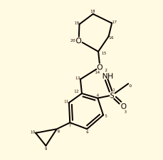 CS(=N)(=O)c1ccc(C2CC2)cc1COC1CCCCO1